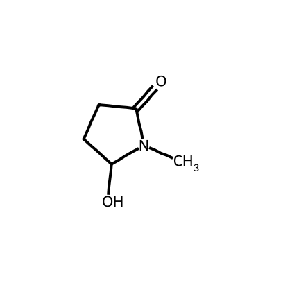 CN1C(=O)CCC1O